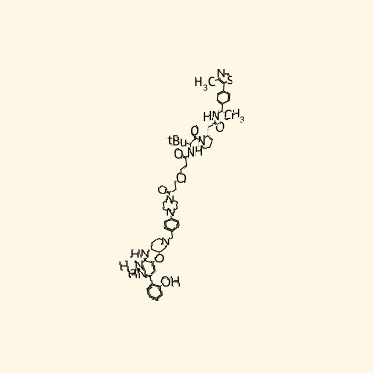 Cc1ncsc1-c1ccc([C@H](C)NC(=O)C[C@@H]2CCCN2C(=O)[C@@H](NC(=O)CCOCCC(=O)N2CCN(c3ccc(CN4CCCC(O/C(=C/C(=N)c5ccccc5O)C(=N)N)C4)cc3)CC2)C(C)(C)C)cc1